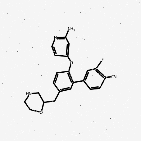 Cc1cc(Oc2ccc(CC3CNCCO3)cc2-c2ccc(C#N)c(F)c2)ccn1